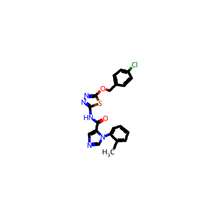 Cc1ccccc1-n1cncc1C(=O)Nc1nnc(OCc2ccc(Cl)cc2)s1